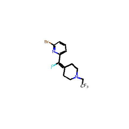 FC(=C1CCN(CC(F)(F)F)CC1)c1cccc(Br)n1